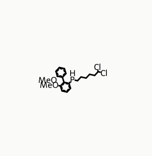 COc1ccccc1-c1c(OC)cccc1PCCCCCC(Cl)Cl